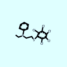 CCN(CCSc1c(Cl)c(Cl)c(Cl)c(Cl)c1Cl)c1ccccc1